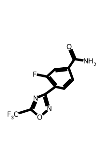 NC(=O)c1ccc(-c2noc(C(F)(F)F)n2)c(F)c1